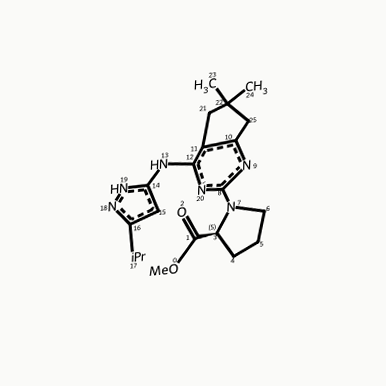 COC(=O)[C@@H]1CCCN1c1nc2c(c(Nc3cc(C(C)C)n[nH]3)n1)CC(C)(C)C2